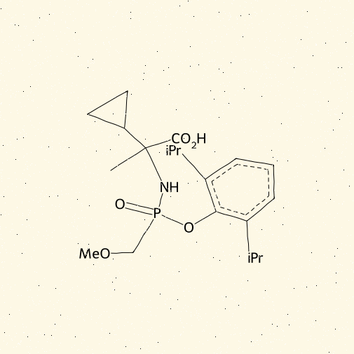 COCP(=O)(NC(C)(C(=O)O)C1CC1)Oc1c(C(C)C)cccc1C(C)C